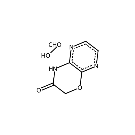 O=C1COc2nccnc2N1.O=CO